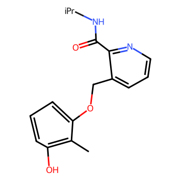 Cc1c(O)cccc1OCc1cccnc1C(=O)NC(C)C